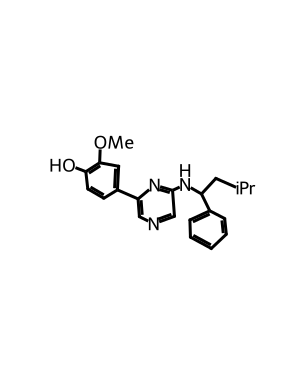 COc1cc(-c2cncc(NC(CC(C)C)c3ccccc3)n2)ccc1O